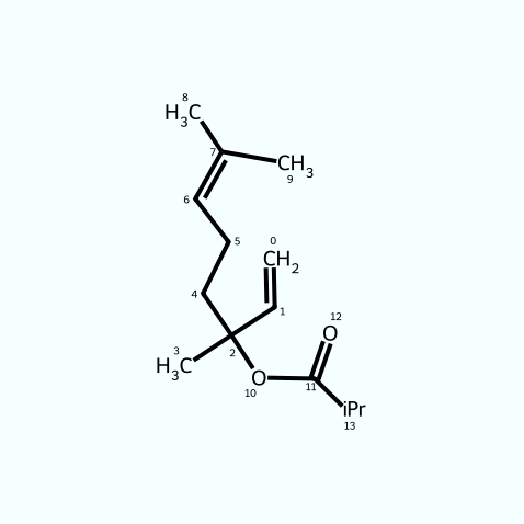 C=CC(C)(CCC=C(C)C)OC(=O)C(C)C